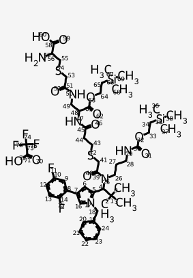 CC(C)(C)C(c1cc(-c2cc(F)ccc2F)cn1Cc1ccccc1)N(CCCNC(=O)OCC[Si](C)(C)C)C(=O)CSCCC(=O)NC(CNC(=O)CSCC(N)C(=O)O)C(=O)OCC[Si](C)(C)C.O=C(O)C(F)(F)F